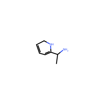 CC(N)C1=CC=CCN1